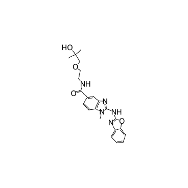 Cn1c(Nc2nc3ccccc3o2)nc2cc(C(=O)NCCOCC(C)(C)O)ccc21